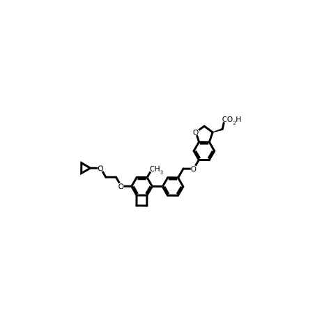 Cc1cc(OCCOC2CC2)c2c(c1-c1cccc(COc3ccc4c(c3)OC[C@H]4CC(=O)O)c1)CC2